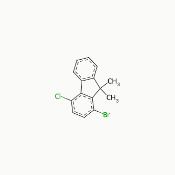 CC1(C)c2ccccc2-c2c(Cl)ccc(Br)c21